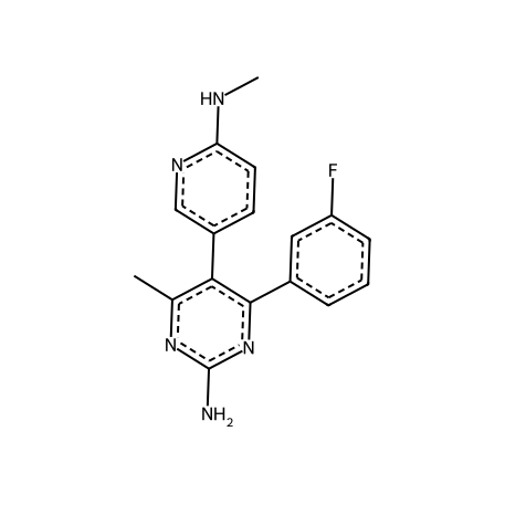 CNc1ccc(-c2c(C)nc(N)nc2-c2cccc(F)c2)cn1